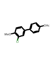 COc1ccc(-c2ccc(OC(C)=O)cc2)cc1Cl